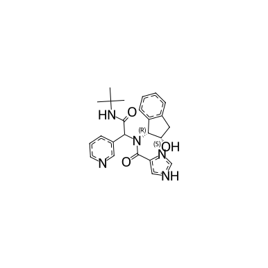 CC(C)(C)NC(=O)C(c1cccnc1)N(C(=O)c1c[nH]cn1)[C@@H]1c2ccccc2C[C@@H]1O